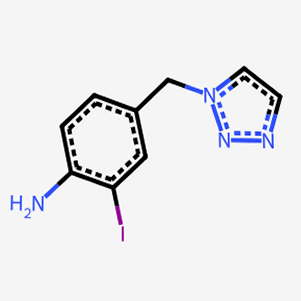 Nc1ccc(Cn2ccnn2)cc1I